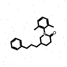 Cc1cccc(C)c1N1CC(CCCc2ccccc2)CCC1=O